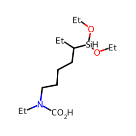 CCO[SiH](OCC)C(CC)CCCCN(CC)C(=O)O